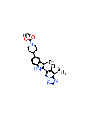 CCCOC(=O)N1CCC(c2ccc3[nH]c(-c4cn5ncnc5c(C)c4C)c(C(C)C)c3c2)CC1